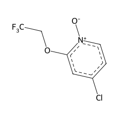 [O-][n+]1ccc(Cl)cc1OCC(F)(F)F